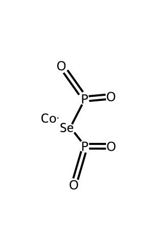 O=P(=O)[Se]P(=O)=O.[Co]